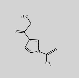 CCC(=O)c1ccn(C(C)=O)c1